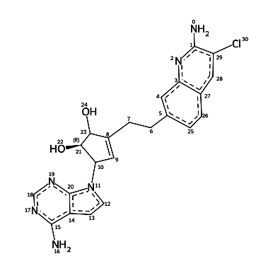 Nc1nc2cc(CCC3=CC(n4ccc5c(N)ncnc54)[C@@H](O)C3O)ccc2cc1Cl